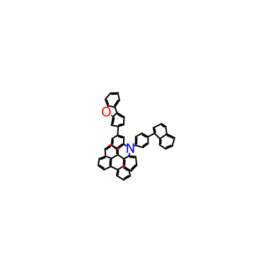 c1ccc(-c2cccc3cccc(-c4ccccc4N(c4ccc(-c5cccc6ccccc56)cc4)c4cccc(-c5ccc6c(c5)oc5ccccc56)c4)c23)cc1